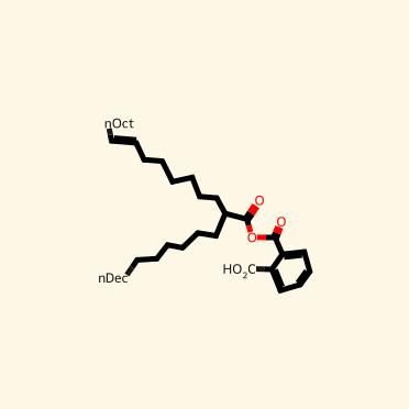 CCCCCCCCC=CCCCCCCC(CCCCCCCCCCCCCCCC)C(=O)OC(=O)c1ccccc1C(=O)O